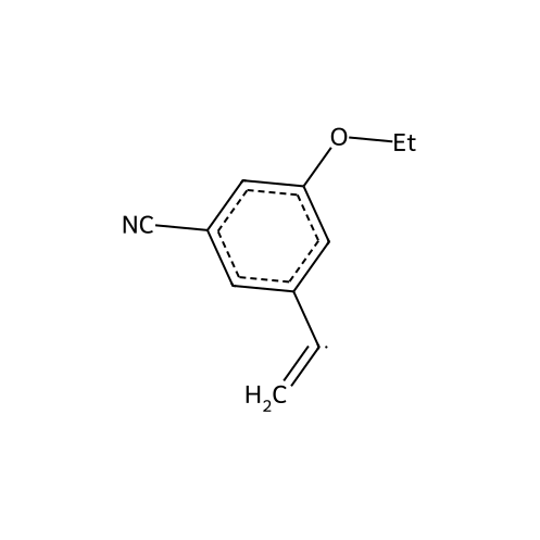 C=[C]c1cc(C#N)cc(OCC)c1